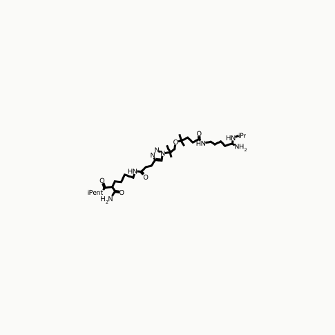 CCCC(C)C(=O)C(CCCCNC(=O)CCc1cn(C(C)(C)COC(C)(C)CCC(=O)NCCCCC(N)NC(C)C)nn1)C(N)=O